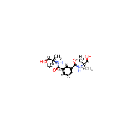 CC(C)(CO)NC(=O)c1cccc(C(=O)NC(C)(C)CO)c1